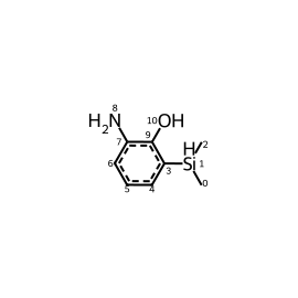 C[SiH](C)c1cccc(N)c1O